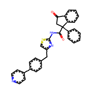 O=C1CC(C(=O)Nc2nc(Cc3ccc(-c4ccncc4)cc3)cs2)(c2ccccc2)c2ccccc21